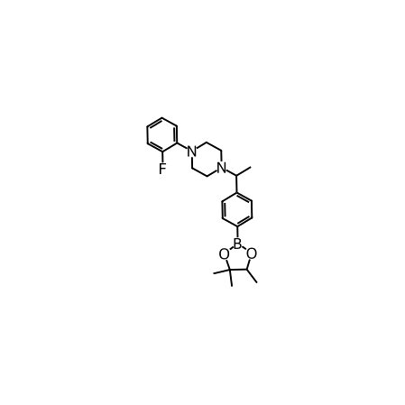 CC(c1ccc(B2OC(C)C(C)(C)O2)cc1)N1CCN(c2ccccc2F)CC1